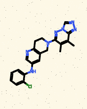 Cc1c(N2CCc3ncc(Nc4ccccc4Cl)cc3C2)nn2cnnc2c1C